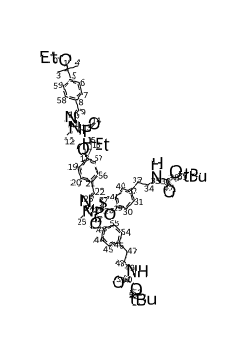 CCOC(C)(C)c1ccc(/C=N/N(C)[PH](=O)C(CC)Oc2ccc(/C=N/N(C)P(=S)(Oc3ccc(CCNC(=O)OC(C)(C)C)cc3)Oc3ccc(CCNC(=O)OC(C)(C)C)cc3)cc2)cc1